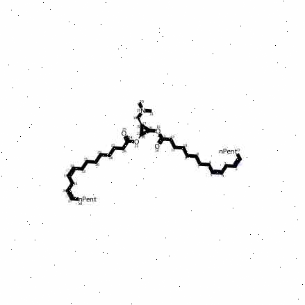 CCCCC/C=C\C/C=C\CCCCCCCC(=O)OC1[C@H](CN(C)C)[C@H]1OC(=O)CCCCCCC/C=C\C/C=C\CCCCC